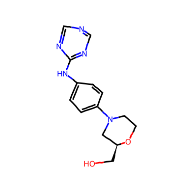 OC[C@H]1CN(c2ccc(Nc3ncncn3)cc2)CCO1